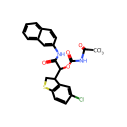 O=C(NC(=O)C(Cl)(Cl)Cl)OC(C(=O)Nc1ccc2ccccc2c1)C1CSc2ccc(Cl)cc21